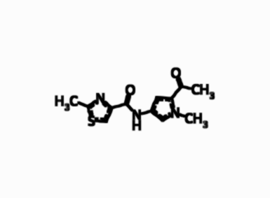 CC(=O)c1cc(NC(=O)c2csc(C)n2)cn1C